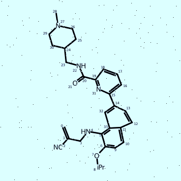 C=C(C#N)CNc1c(OC(C)C)ccc2ccc(-c3cccc(C(=O)NCC4CCN(C)CC4)n3)cc12